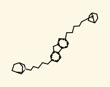 c1cc2c(cc1CCCCCN1CC3CCC(CC3)C1)Cc1cc(CCCCCN3CC4CCC(CC4)C3)ccc1-2